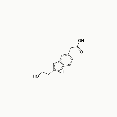 O=C(O)Cc1ccc2[nH]c(CCO)cc2c1